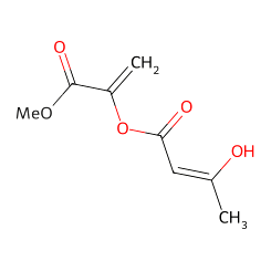 C=C(OC(=O)C=C(C)O)C(=O)OC